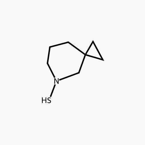 SN1CCCC2(CC2)C1